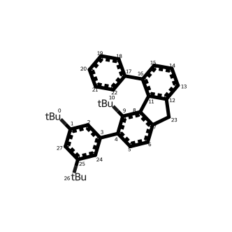 CC(C)(C)c1cc(-c2ccc3c(c2C(C)(C)C)-c2c(cccc2-c2ccccc2)C3)cc(C(C)(C)C)c1